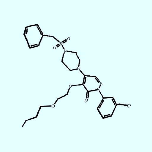 CCCCOCCOc1c(N2CCN(S(=O)(=O)Cc3ccccc3)CC2)cnn(-c2cccc(Cl)c2)c1=O